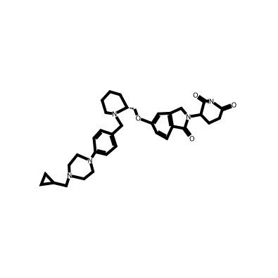 O=C1CCC(N2Cc3cc(OC[C@H]4CCCCN4Cc4ccc(N5CCN(CC6CC6)CC5)cc4)ccc3C2=O)C(=O)N1